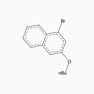 CCCCOc1cc(Br)c2ccccc2c1